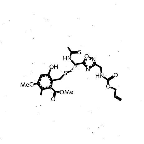 C=CCOC(=O)NCc1noc([C@H](CSCc2c(O)cc(OC)c(C)c2C(=O)OC)NC(C)=S)n1